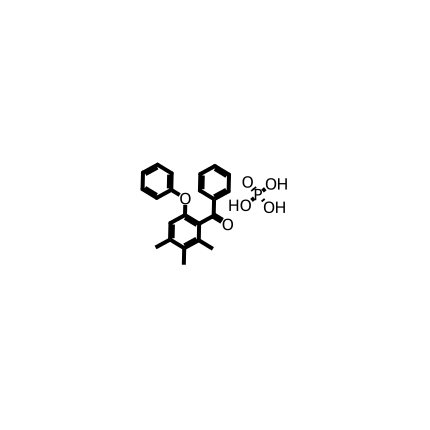 Cc1cc(Oc2ccccc2)c(C(=O)c2ccccc2)c(C)c1C.O=P(O)(O)O